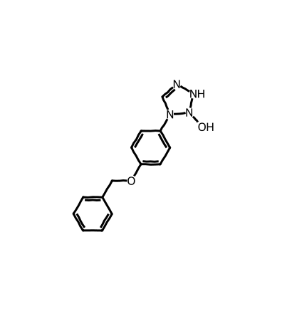 ON1NN=CN1c1ccc(OCc2ccccc2)cc1